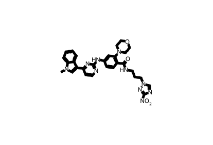 Cn1cc(-c2ccnc(Nc3ccc(C(=O)NCCCn4cnc([N+](=O)[O-])n4)c(N4CCOCC4)c3)n2)c2ccccc21